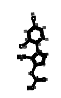 Nc1c(OC(=O)O)cnn1-c1ncc(Cl)cc1Cl